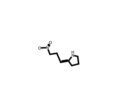 O=[N+]([O-])CCC=C1CCCN1